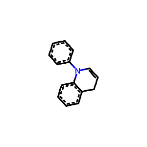 C1=CN(c2ccccc2)c2ccccc2C1